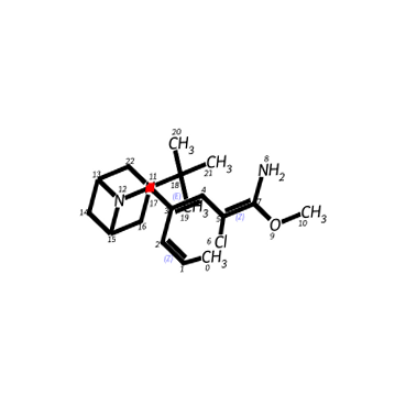 C\C=C/C(=C\C(Cl)=C(/N)OC)CN1C2CC1CN(C(C)(C)C)C2